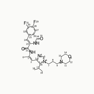 C/C(=C/c1ncn(CCCN2CCOCC2)c1C(C)C)NC(=O)/C(=C/c1ccc(F)c(F)c1)NC=O